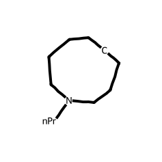 [CH2]CCN1CCCCCCCC1